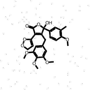 COc1ccc(C2(O)OC(=O)C(C3=CCOO3)=C2Cc2cc(OC)c(OC)c(OC)c2)cc1C